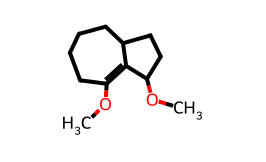 COC1=C2C(CCCC1)CCC2OC